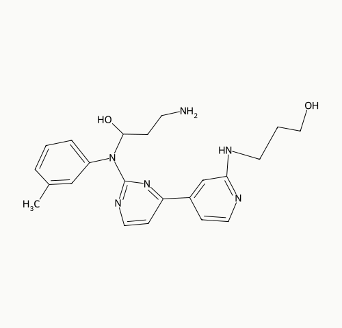 Cc1cccc(N(c2nccc(-c3ccnc(NCCCO)c3)n2)C(O)CCN)c1